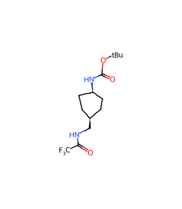 CC(C)(C)OC(=O)N[C@H]1CC[C@@H](CNC(=O)C(F)(F)F)CC1